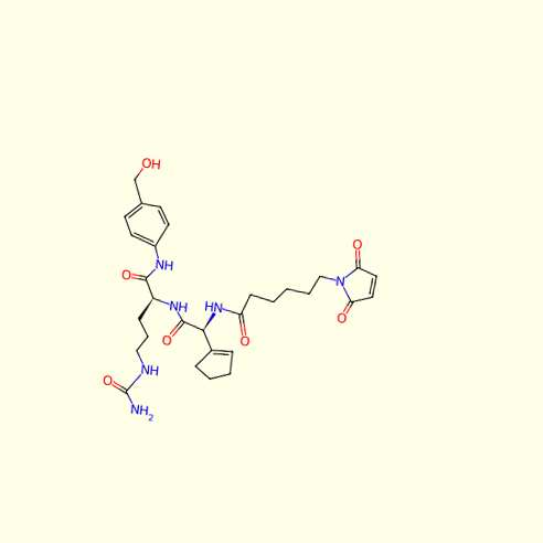 NC(=O)NCCC[C@H](NC(=O)[C@@H](NC(=O)CCCCCN1C(=O)C=CC1=O)C1=CCCC1)C(=O)Nc1ccc(CO)cc1